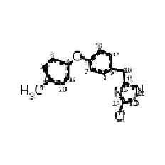 Cc1ccc(Oc2ccc(Cc3nsc(Cl)n3)cc2)cc1